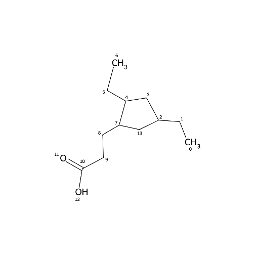 CCC1CC(CC)C(CCC(=O)O)C1